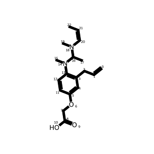 C=CCc1cc(OCC(=O)O)ccc1N(C)C(C)N(C)/C=C\C